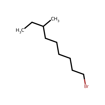 CCC(C)CCCCCCBr